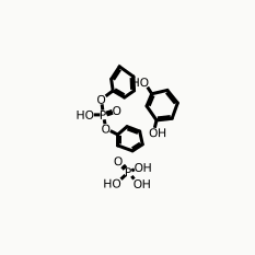 O=P(O)(O)O.O=P(O)(Oc1ccccc1)Oc1ccccc1.Oc1cccc(O)c1